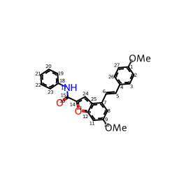 COc1ccc(/C=C/c2cc(OC)cc3oc(C(=O)Nc4ccccc4)cc23)cc1